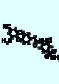 Cc1cc(C#N)ccc1Oc1ccc(CC(=O)Nc2ccc(S(N)(=O)=O)cc2Cl)cc1Cl